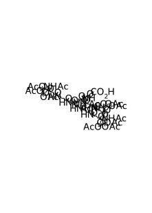 CC(=O)NC1C(C(=O)CCCC(=O)NCCCCC(=O)NCCN(CCNC(=O)CCCCNC(=O)CCCC(=O)C2OC(COC(C)=O)C(OC(C)=O)C(OC(C)=O)C2NC(C)=O)C(=O)CC[C@H](NC(=O)CCCCNC(=O)CCCC(=O)C2OC(COC(C)=O)C(OC(C)=O)C(OC(C)=O)C2NC(C)=O)C(=O)NCCOCC(=O)O)OC(COC(C)=O)C(OC(C)=O)C1OC(C)=O